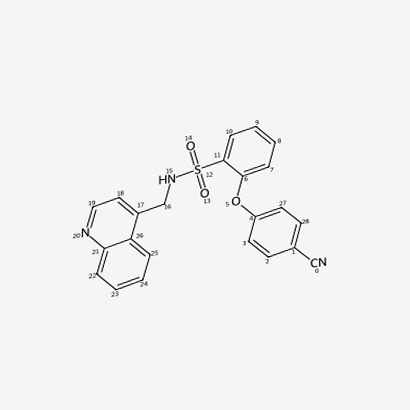 N#Cc1ccc(Oc2ccccc2S(=O)(=O)NCc2ccnc3ccccc23)cc1